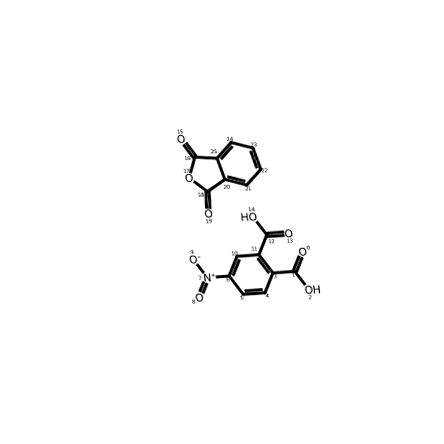 O=C(O)c1ccc([N+](=O)[O-])cc1C(=O)O.O=C1OC(=O)c2ccccc21